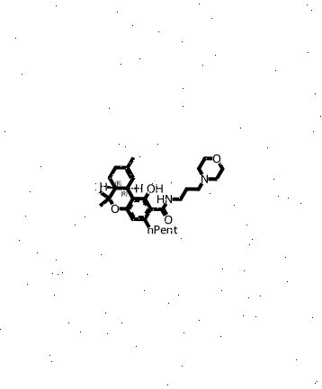 CCCCCc1cc2c(c(O)c1C(=O)NCCCN1CCOCC1)[C@@H]1C=C(C)CC[C@H]1C(C)(C)O2